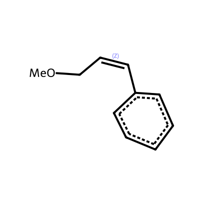 COC/C=C\c1ccccc1